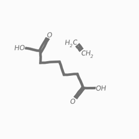 C=C.O=C(O)CCCCC(=O)O